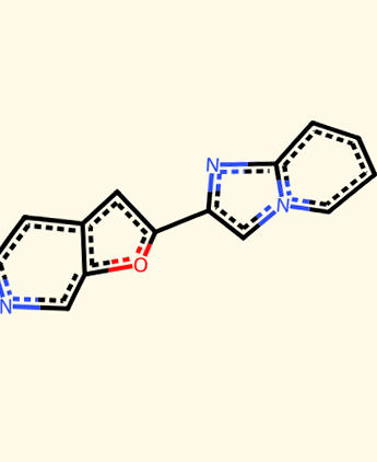 c1ccn2cc(-c3cc4ccncc4o3)nc2c1